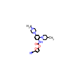 CC1CCN(c2cc(N3CCN(C)CC3)ccc2NC(=O)Oc2ccc(C#N)o2)CC1